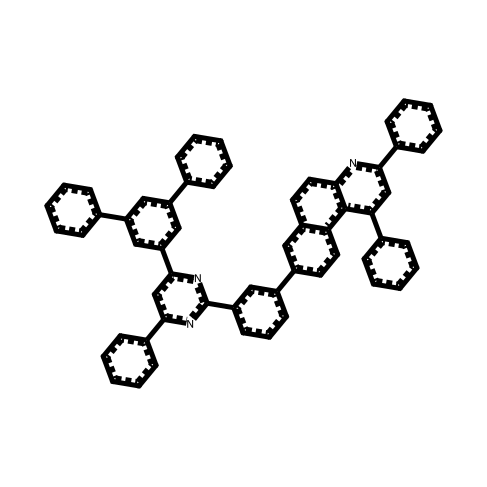 c1ccc(-c2cc(-c3ccccc3)cc(-c3cc(-c4ccccc4)nc(-c4cccc(-c5ccc6c(ccc7nc(-c8ccccc8)cc(-c8ccccc8)c76)c5)c4)n3)c2)cc1